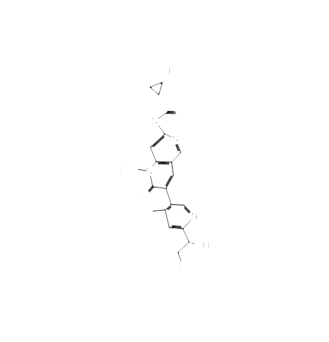 CC[C@H](O)c1cc(C)c(-c2cc3cnc(NC(=O)[C@@H]4C[C@@H]4F)cc3n(C)c2=O)cn1